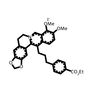 CCOC(=O)c1ccc(CCCc2c3[n+](cc4c(OC)c(OC)ccc24)CCc2cc4c(cc2-3)OCO4)cc1.[I-]